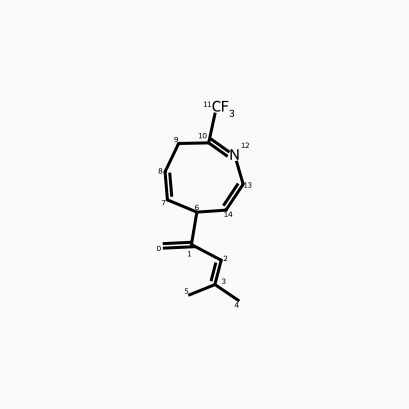 C=C(C=C(C)C)C1C=CC/C(C(F)(F)F)=N\C=C/1